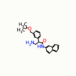 CC(C)OCc1cccc(C(CN)C(=O)Nc2ccc3ccccc3c2)c1